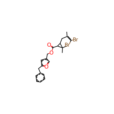 CC(CC1C(C(=O)OCc2coc(Cc3ccccc3)c2)C1(C)C)=C(Br)Br